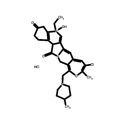 CC[N+]1(O)C=C2C3=CC4=CC(Cl)=C(C)OC(CN5CCC(C)CC5)=C4CN3C(=O)C2C2=C1CC(=O)CC2.Cl